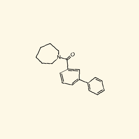 O=C(c1cccc(-c2ccccc2)c1)N1CCCCCC1